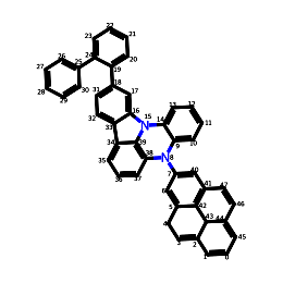 C1=CC2=CCc3cc(N4c5ccccc5-n5c6cc(-c7ccccc7-c7ccccc7)ccc6c6cccc4c65)cc4c3C2C(=C1)C=C4